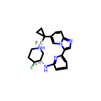 F[C@H]1CCNC[C@@H]1Nc1cccc(-c2cnc3ccc(C4(C(F)(F)F)CC4)cn23)n1